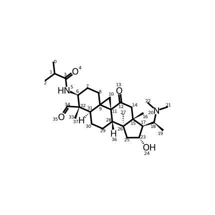 CC(C)C(=O)N[C@H]1CCC23C[C@]24C(=O)C[C@]2(C)[C@@H]([C@H](C)N(C)C)[C@H](O)C[C@@]2(C)[C@@H]4CC[C@H]3[C@]1(C)C=O